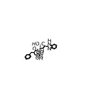 O=C(NCCC(C(=O)O)c1nc2ccccc2[nH]1)C(Cc1ccccc1)CP(=O)(O)O